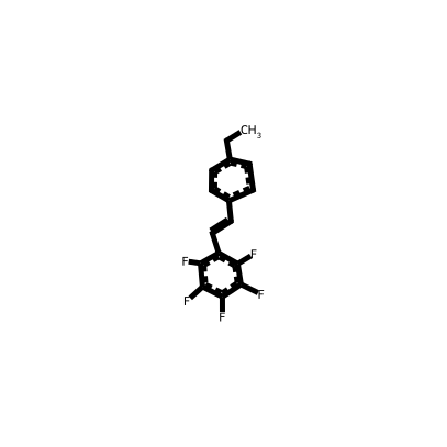 CCc1ccc(/C=C/c2c(F)c(F)c(F)c(F)c2F)cc1